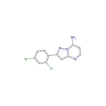 Nc1ccnc2cc(-c3ccc(Br)cc3Cl)nn12